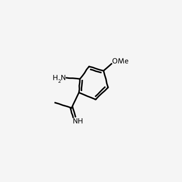 COc1ccc(C(C)=N)c(N)c1